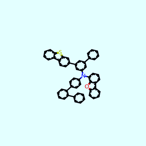 c1ccc(-c2cc(-c3ccc4c(c3)sc3ccccc34)cc(N(c3ccc(-c4ccccc4-c4ccccc4)cc3)c3cccc4c3oc3ccccc34)c2)cc1